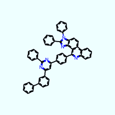 c1ccc(-c2cccc(-c3cc(-c4ccc(-c5nc6ccccc6c6ccc7c(nc(-c8ccccc8)n7-c7ccccc7)c56)cc4)nc(-c4ccccc4)n3)c2)cc1